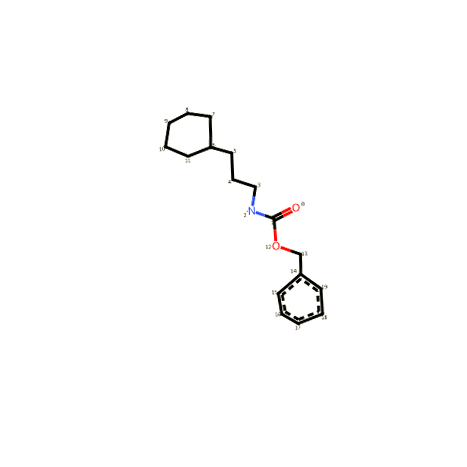 O=C([N]CCCC1CCCCC1)OCc1ccccc1